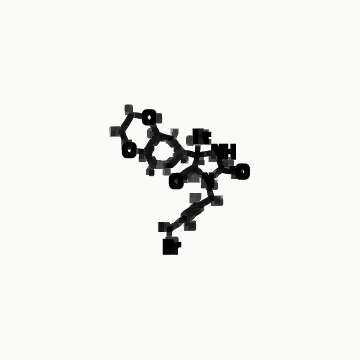 CCC1(c2ccc3c(c2)OCCO3)NC(=O)N(CC#CCBr)C1=O